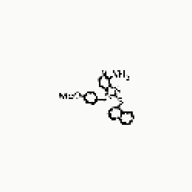 COc1ccc(Cn2c(Sc3cccc4ccccc34)nc3c(N)nccc32)cc1